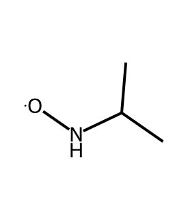 CC(C)N[O]